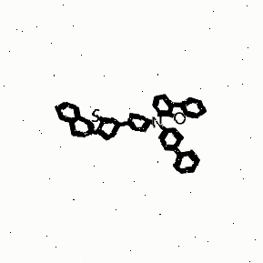 c1ccc(-c2ccc(N(c3ccc(-c4ccc5c(c4)sc4c6ccccc6ccc54)cc3)c3cccc4c3oc3ccccc34)cc2)cc1